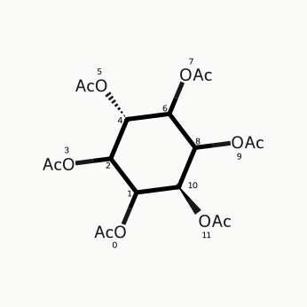 CC(=O)OC1C(OC(C)=O)[C@H](OC(C)=O)C(OC(C)=O)C(OC(C)=O)[C@H]1OC(C)=O